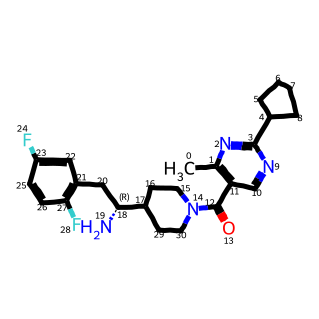 Cc1nc(C2CCCC2)ncc1C(=O)N1CCC([C@H](N)Cc2cc(F)ccc2F)CC1